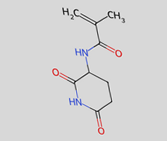 C=C(C)C(=O)NC1CCC(=O)NC1=O